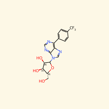 OC[C@H]1OC(n2cnc3c(-c4ccc(C(F)(F)F)cc4)ncnc32)[C@H](O)[C@@H]1O